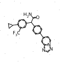 NC(=O)C(c1ccc(-c2ccn3ncnc3c2)cc1)c1ccc(C2CC2)c(C(F)(F)F)c1